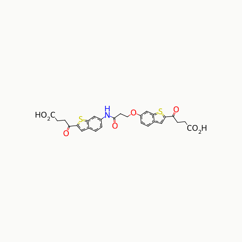 O=C(O)CCC(=O)c1cc2ccc(NC(=O)CCOc3ccc4cc(C(=O)CCC(=O)O)sc4c3)cc2s1